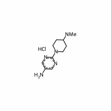 CNC1CCN(c2ncc(N)cn2)CC1.Cl